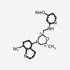 COc1ccnc(NC[C@@H]2CN(c3ccc(C#N)c4ncccc34)C[C@@H](C)O2)c1